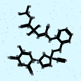 C#C[C@@]1(COc2ccccc2O/[P+]([O-])=N/C(C)(C)C(=O)OC(C)C)C=C[C@H](n2cc(C)c(=O)[nH]c2=O)O1